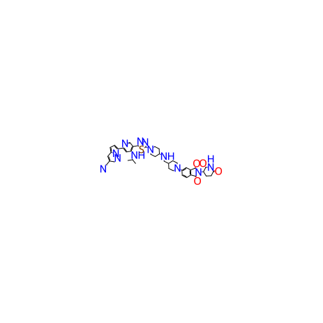 CC(C)Nc1cc(-c2ccc3cc(C#N)cnn23)ncc1-c1nnc(N2CCC(NCC3CCN(c4ccc5c(c4)C(=O)N(C4CCC(=O)NC4=O)C5=O)CC3)CC2)s1